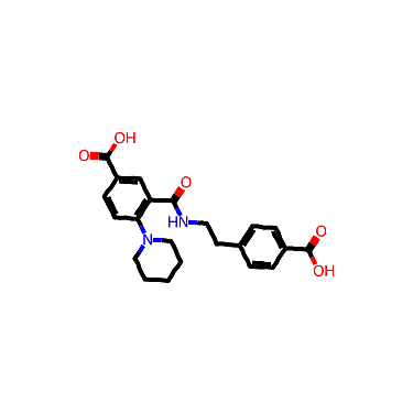 O=C(O)c1ccc(CCNC(=O)c2cc(C(=O)O)ccc2N2CCCCC2)cc1